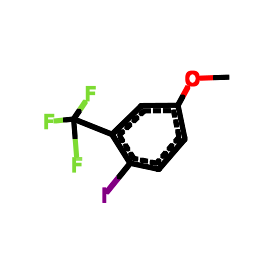 COc1ccc(I)c(C(F)(F)F)c1